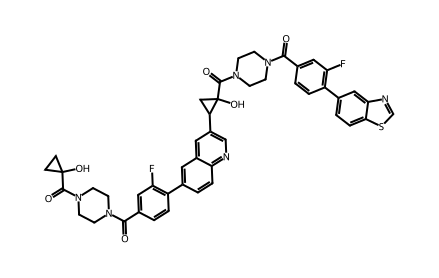 O=C(c1ccc(-c2ccc3ncc(C4CC4(O)C(=O)N4CCN(C(=O)c5ccc(-c6ccc7scnc7c6)c(F)c5)CC4)cc3c2)c(F)c1)N1CCN(C(=O)C2(O)CC2)CC1